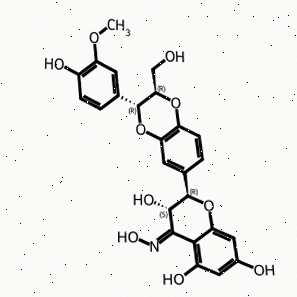 COc1cc([C@H]2Oc3cc([C@H]4Oc5cc(O)cc(O)c5C(=NO)[C@@H]4O)ccc3O[C@@H]2CO)ccc1O